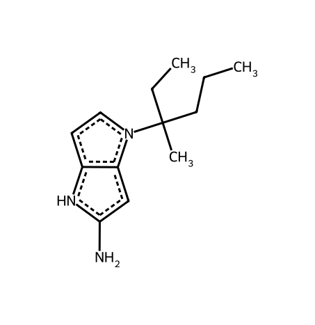 CCCC(C)(CC)n1ccc2[nH]c(N)cc21